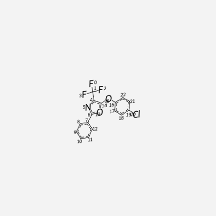 FC(F)(F)c1nc(-c2ccccc2)oc1Oc1ccc(Cl)cc1